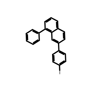 Ic1ccc(-c2ccc3cccc(-c4ccccc4)c3c2)cc1